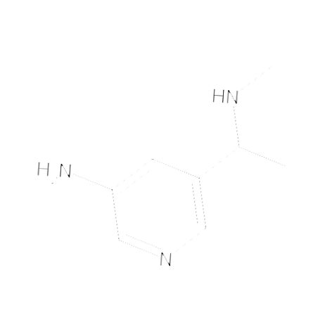 CNC(C)c1cncc(N)c1